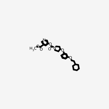 COC(=O)c1cncc(OC(=O)N2CCC(Oc3cccc(OCCC4CCCCC4)c3)CC2)c1